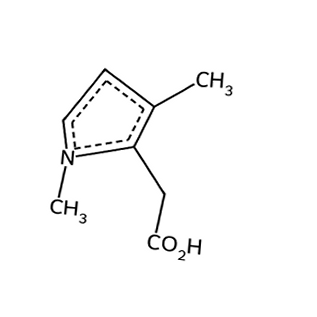 Cc1ccn(C)c1CC(=O)O